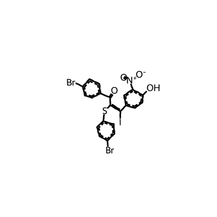 O=C(C(Sc1ccc(Br)cc1)=C(I)c1ccc(O)c([N+](=O)[O-])c1)c1ccc(Br)cc1